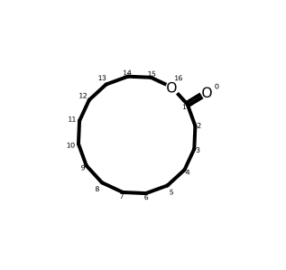 O=C1[CH]CCCCCCCCCCCCCO1